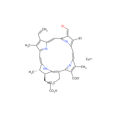 C=CC1=C(C)C2=NC1=CC1=NC(=C(CC)/C1=C/[O-])C=C1N=C(C(CC(=O)O)=C3NC(=C2)[C@@H](C)[C@@H]3CCC(=O)O)C(C(=O)[O-])=C1C.[Cu+2]